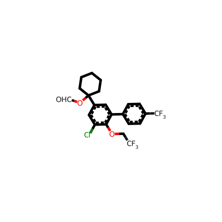 O=COC1(c2cc(Cl)c(OCC(F)(F)F)c(-c3ccc(C(F)(F)F)cc3)c2)CCCCC1